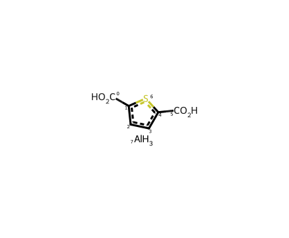 O=C(O)c1ccc(C(=O)O)s1.[AlH3]